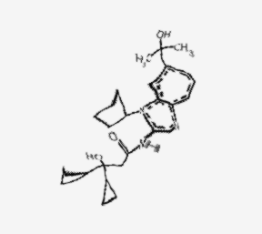 CC(C)(O)c1ccc2nc(NC(=O)CC(O)(C3CC3)C3CC3)n(C3CCC3)c2c1